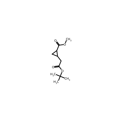 COC(=O)C1CC1CC(=O)OC(C)(C)C